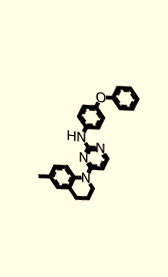 Cc1ccc2c(c1)CCCN2c1ccnc(Nc2ccc(Oc3ccccc3)cc2)n1